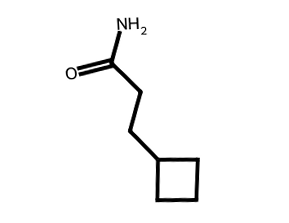 NC(=O)CCC1CCC1